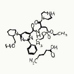 CCCCC(=O)O.CCOP(=O)(CC(NC(=O)c1cc(N2CCCCC2CO)nc(-c2ccccc2)n1)C(=O)N1CCNCC1)OCC